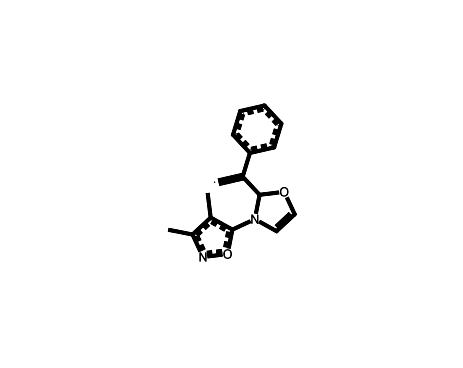 [CH]=C(c1ccccc1)C1OC=CN1c1onc(C)c1C